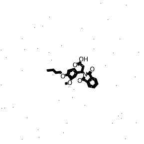 CCCCOc1ccc(C(CC(=O)O)N2C(=O)c3ccccc3C2=O)cc1OC